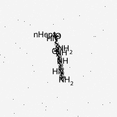 CCCCCCCC(=O)NCCCCC(N)C(=O)NCCCNCCCCNCCCN